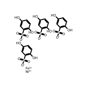 O=S(=O)([O-])c1cc(O)ccc1O.O=S(=O)([O-])c1cc(O)ccc1O.O=S(=O)([O-])c1cc(O)ccc1O.O=S(=O)([O-])c1cc(O)ccc1O.[Fe+2].[Ni+2]